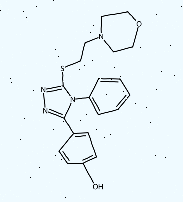 Oc1ccc(-c2nnc(SCCN3CCOCC3)n2-c2ccccc2)cc1